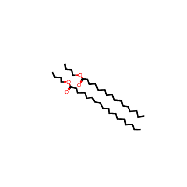 CCCCCCCCCCCCCCCC(=O)OCCCC.CCCCCCCCCCCCCCCCCC(=O)OCCCC